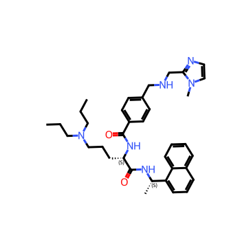 CCCN(CCC)CCC[C@H](NC(=O)c1ccc(CNCc2nccn2C)cc1)C(=O)N[C@@H](C)c1cccc2ccccc12